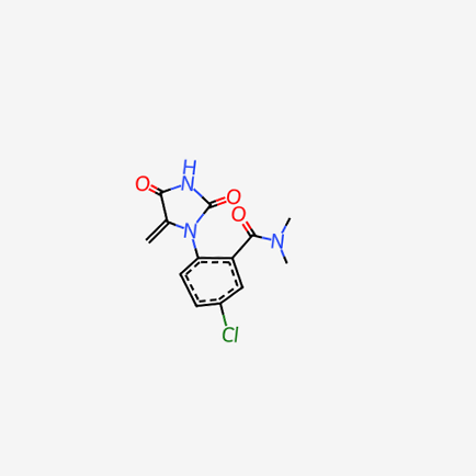 C=C1C(=O)NC(=O)N1c1ccc(Cl)cc1C(=O)N(C)C